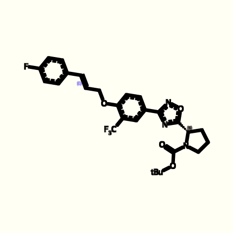 CC(C)(C)OC(=O)N1CCC[C@H]1c1nc(-c2ccc(OC/C=C/c3ccc(F)cc3)c(C(F)(F)F)c2)no1